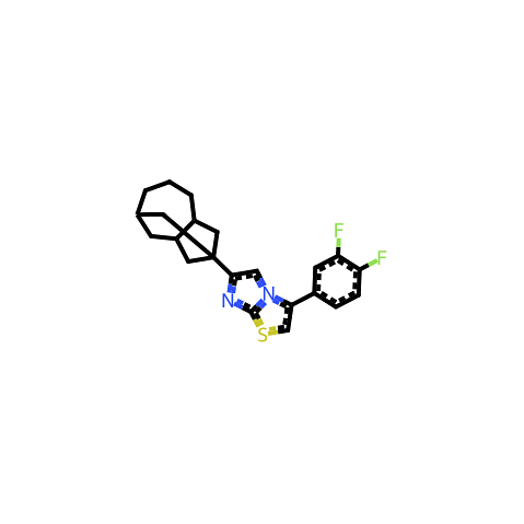 Fc1ccc(-c2csc3nc(C45CC6CCCC(C4)C(C6)C5)cn23)cc1F